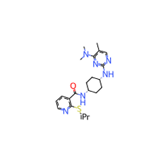 Cc1cnc(N[C@H]2CC[C@@H](NC(=O)c3cccnc3SC(C)C)CC2)nc1N(C)C